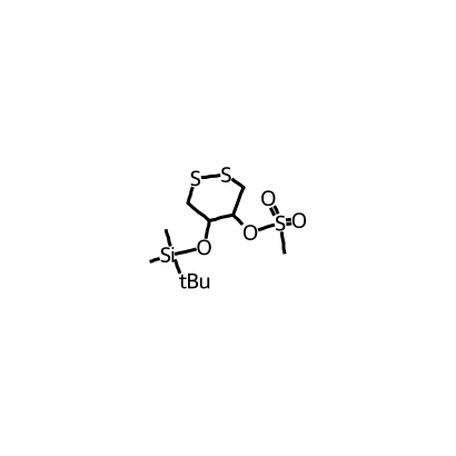 CC(C)(C)[Si](C)(C)OC1CSSCC1OS(C)(=O)=O